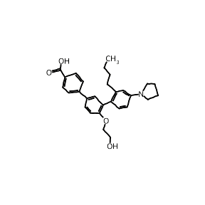 CCCCc1cc(N2CCCC2)ccc1-c1cc(-c2ccc(C(=O)O)cc2)ccc1OCCO